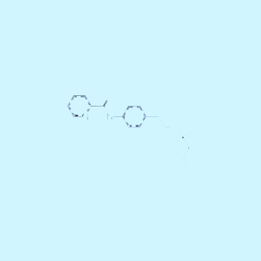 CCCC(C)(C)CCCc1ccc(NC(=O)c2ccccn2)cc1